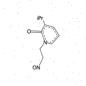 CC(C)c1cccn(CCN=O)c1=O